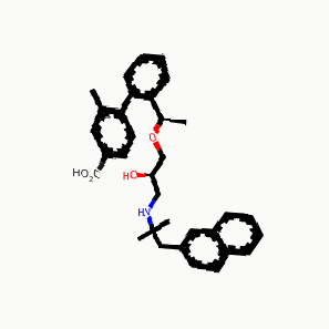 Cc1cc(C(=O)O)ccc1-c1ccccc1[C@@H](C)OC[C@H](O)CNC(C)(C)Cc1ccc2ccccc2c1